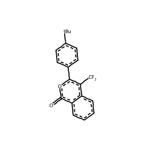 CC(C)(C)c1ccc(-c2oc(=O)c3ccccc3c2C(F)(F)F)cc1